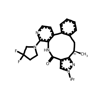 CC(C)n1cc2c(n1)[C@H](C)Cc1ccccc1-c1ccnc(N3CCC(F)(F)C3)c1NC2=O